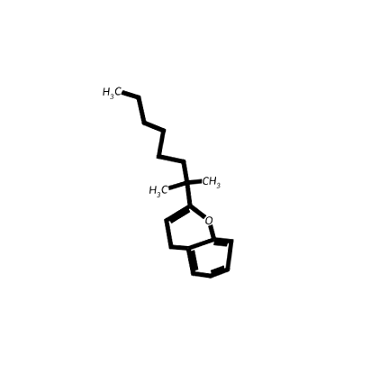 CCCCCCC(C)(C)C1=CCc2ccccc2O1